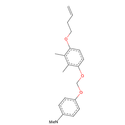 C=CCCOc1ccc(OCOc2ccc(NC)cc2)c(C)c1C